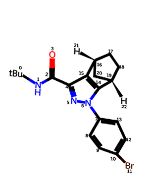 CC(C)(C)NC(=O)c1nn(-c2ccc(Br)cc2)c2c1[C@@H]1CC[C@H]2C1